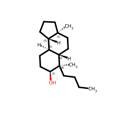 CCCC[C@@]1(C)[C@@H](O)CC[C@H]2[C@@H]3CCC[C@@]3(C)CC[C@@H]21